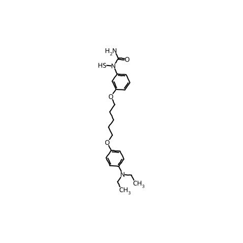 CCN(CC)c1ccc(OCCCCCOc2cccc(N(S)C(N)=O)c2)cc1